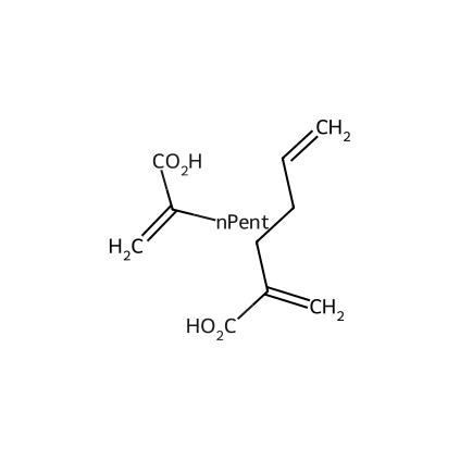 C=C(CCCCC)C(=O)O.C=CCCC(=C)C(=O)O